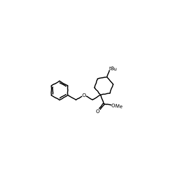 COC(=O)C1(COCc2ccccc2)CCC(C(C)(C)C)CC1